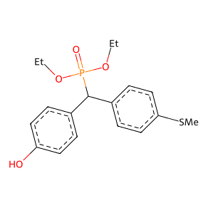 CCOP(=O)(OCC)C(c1ccc(O)cc1)c1ccc(SC)cc1